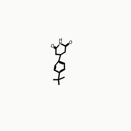 CC(C)(C)c1ccc(C2CC(=O)NC(=O)C2)cc1